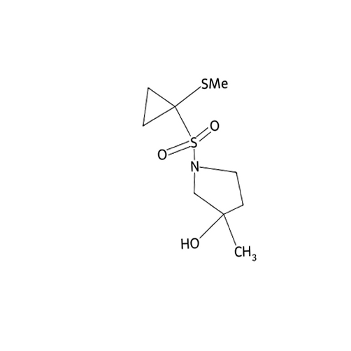 CSC1(S(=O)(=O)N2CCC(C)(O)C2)CC1